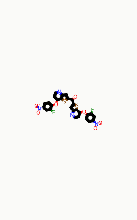 O=C(c1cc2nccc(Oc3ccc([N+](=O)[O-])cc3F)c2s1)c1cc2nccc(Oc3ccc([N+](=O)[O-])cc3F)c2s1